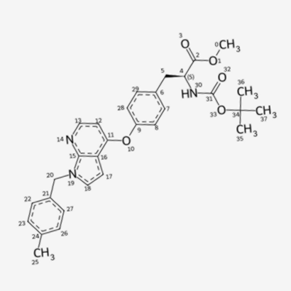 COC(=O)[C@H](Cc1ccc(Oc2ccnc3c2ccn3Cc2ccc(C)cc2)cc1)NC(=O)OC(C)(C)C